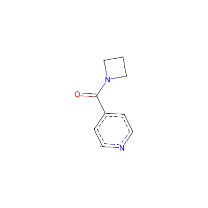 O=C(c1c[c]ncc1)N1CCC1